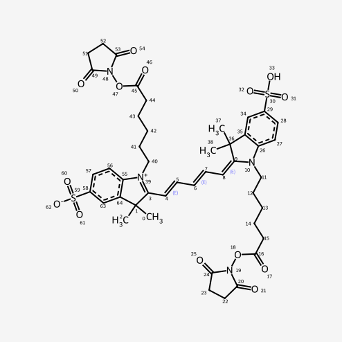 CC1(C)C(/C=C/C=C/C=C2/N(CCCCCC(=O)ON3C(=O)CCC3=O)c3ccc(S(=O)(=O)O)cc3C2(C)C)=[N+](CCCCCC(=O)ON2C(=O)CCC2=O)c2ccc(S(=O)(=O)[O-])cc21